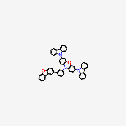 c1cc(-c2ccc3oc4ccccc4c3c2)cc(N2c3ccc(-n4c5ccccc5c5ccccc54)cc3Oc3cc(-n4c5ccccc5c5ccccc54)ccc32)c1